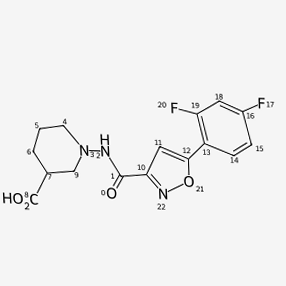 O=C(NN1CCCC(C(=O)O)C1)c1cc(-c2ccc(F)cc2F)on1